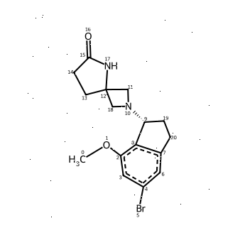 COc1cc(Br)cc2c1[C@H](N1CC3(CCC(=O)N3)C1)CC2